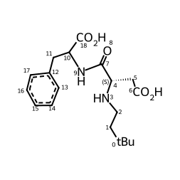 CC(C)(C)CCN[C@@H](CC(=O)O)C(=O)NC(Cc1ccccc1)C(=O)O